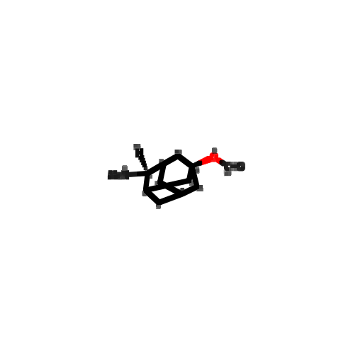 CN[C@H]1C2CC3CC1C[C@@](OC=O)(C3)C2